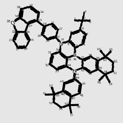 CC(C)(C)c1ccc2c(c1)N(c1ccc(-c3cccc4oc5ccccc5c34)cc1)c1cccc3c1B2c1cc2c(cc1N3c1ccc3c(c1)C(C)(C)CCC3(C)C)C(C)(C)CCC2(C)C